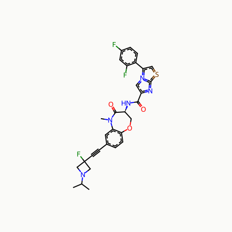 CC(C)N1CC(F)(C#Cc2ccc3c(c2)N(C)C(=O)[C@@H](NC(=O)c2cn4c(-c5ccc(F)cc5F)csc4n2)CO3)C1